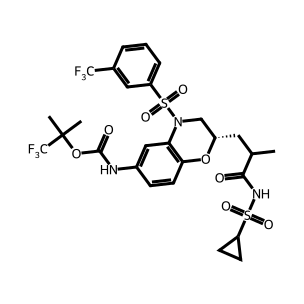 CC(C[C@H]1CN(S(=O)(=O)c2cccc(C(F)(F)F)c2)c2cc(NC(=O)OC(C)(C)C(F)(F)F)ccc2O1)C(=O)NS(=O)(=O)C1CC1